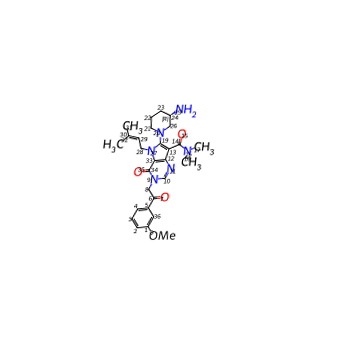 COc1cccc(C(=O)Cn2cnc3c(C(=O)N(C)C)c(N4CCC[C@@H](N)C4)n(CC=C(C)C)c3c2=O)c1